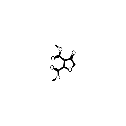 COC(=O)C1OCC(=O)C1C(=O)OC